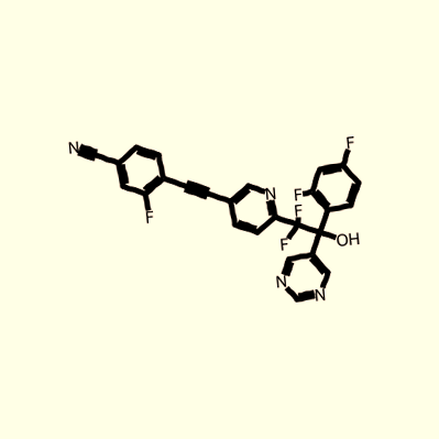 N#Cc1ccc(C#Cc2ccc(C(F)(F)C(O)(c3cncnc3)c3ccc(F)cc3F)nc2)c(F)c1